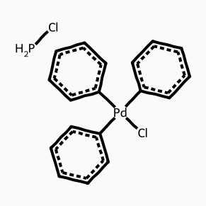 PCl.[Cl][Pd]([c]1ccccc1)([c]1ccccc1)[c]1ccccc1